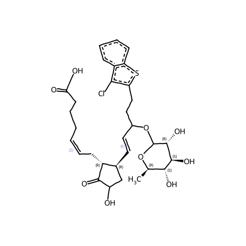 C[C@H]1OC(OC(/C=C/[C@H]2CC(O)C(=O)[C@@H]2C/C=C\CCCC(=O)O)CCc2sc3ccccc3c2Cl)[C@H](O)[C@@H](O)[C@@H]1O